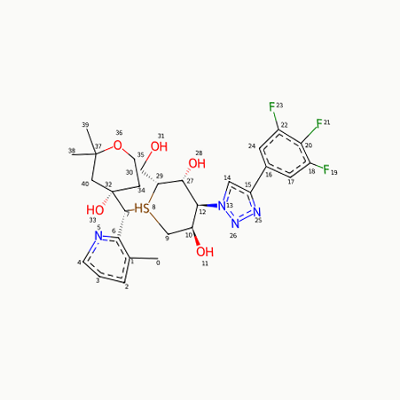 Cc1cccnc1[C@@H]([SH]1C[C@H](O)[C@H](n2cc(-c3cc(F)c(F)c(F)c3)nn2)[C@@H](O)[C@H]1CO)[C@]1(O)CCOC(C)(C)C1